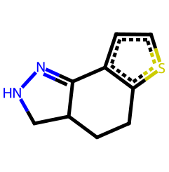 c1cc2c(s1)CCC1CNN=C21